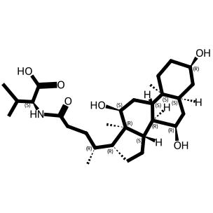 CC(C)[C@H](NC(=O)CC[C@@H](C)[C@H]1CC[C@H]2[C@@H]3[C@H](O)C[C@@H]4C[C@H](O)CC[C@]4(C)[C@H]3C[C@H](O)[C@]12C)C(=O)O